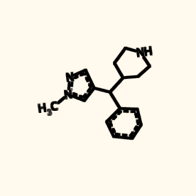 Cn1cc(C(c2ccccc2)C2CCNCC2)cn1